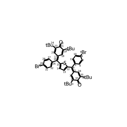 CC(C)(C)C1=CC(=C(c2ccc(Br)cc2)c2ccc(C(=C3C=C(C(C)(C)C)C(=O)C(C(C)(C)C)=C3)c3ccc(Br)cc3)s2)C=C(C(C)(C)C)C1=O